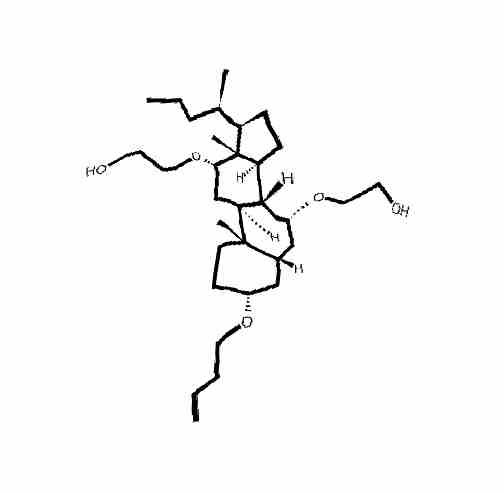 CCCCO[C@@H]1CC[C@@]2(C)[C@@H](C1)C[C@@H](OCCO)[C@@H]1[C@@H]2C[C@H](OCCO)[C@]2(C)[C@@H]([C@H](C)CCC)CC[C@@H]12